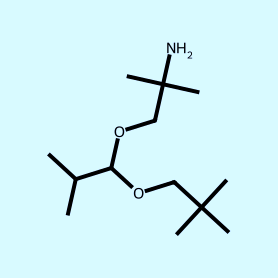 CC(C)C(OCC(C)(C)C)OCC(C)(C)N